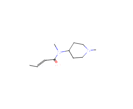 C/C=C/C(=O)N(C)C1CCN(C)CC1